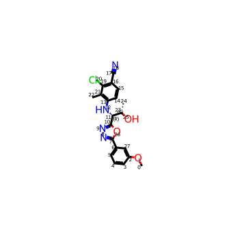 COc1cccc(-c2nnc([C@H](Nc3ccc(C#N)c(Cl)c3C)[C@H](C)O)o2)c1